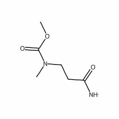 COC(=O)N(C)CCC([NH])=O